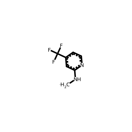 [CH2]Nc1cc(C(F)(F)F)ccn1